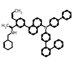 C=C(NCC1C=CCCC1)c1cc(-c2cccc3c(N(c4ccc(-c5ccccc5)cc4)c4ccc(-c5ccccc5-c5ccccc5)cc4)cccc23)ccc1/C=C\C